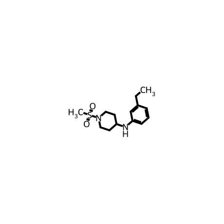 CCc1cccc(NC2CCN(S(C)(=O)=O)CC2)c1